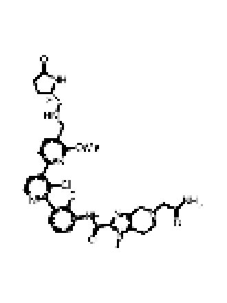 COc1nc(-c2ccnc(-c3cccc(NC(=O)c4nc5c(n4C)CCN(CC(N)=O)C5)c3Cl)c2Cl)ccc1CNC[C@@H]1CCC(=O)N1